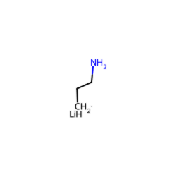 [CH2]CCN.[LiH]